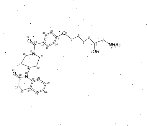 CC(=O)NCC(O)CCCCOc1ccc(C(=O)N2CCC(N3C(=O)CCc4ccccc43)CC2)cc1